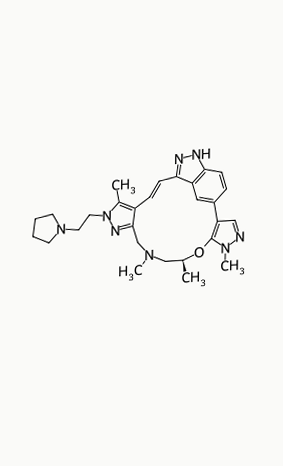 Cc1c2c(nn1CCN1CCCC1)CN(C)C[C@H](C)Oc1c(cnn1C)-c1ccc3[nH]nc(c3c1)/C=C/2